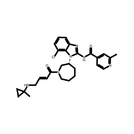 Cc1cc(C(=O)Nc2nc3cccc(Cl)c3n2[C@@H]2CCCCN(C(=O)C=CCNC3(C)CC3)C2)ccn1